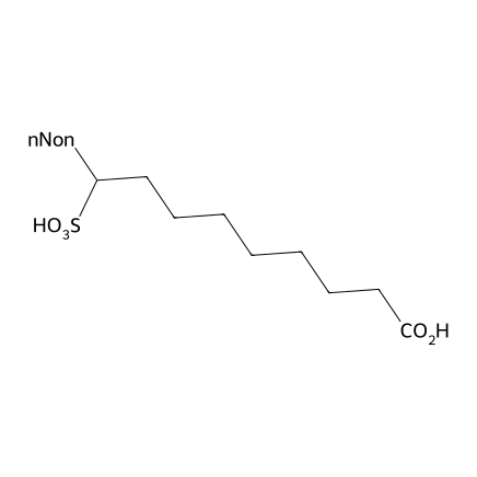 CCCCCCCCCC(CCCCCCCC(=O)O)S(=O)(=O)O